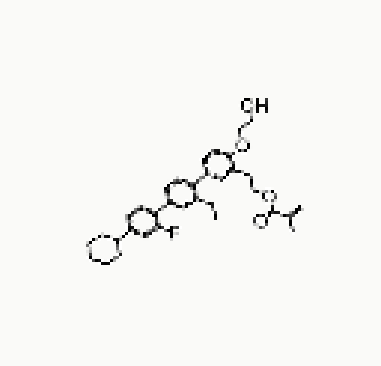 C=C(C)C(=O)OCCc1cc(-c2ccc(-c3ccc(C4CCCCC4)cc3F)cc2CC)ccc1OCCO